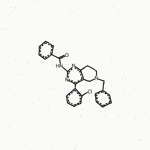 O=C(Nc1nc2c(c(-c3ccccc3Cl)n1)CN(Cc1ccccc1)CC2)c1ccccc1